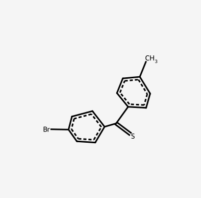 Cc1ccc(C(=S)c2ccc(Br)cc2)cc1